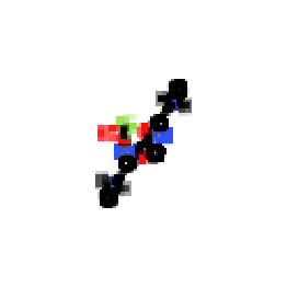 O=C(CC(C(=O)N[C@H]1CC[C@H](CCN2[C@@H]3CC[C@H]2c2ccccc23)CC1)c1ccccc1)N[C@H]1CC[C@H](CCN2[C@@H]3CC[C@H]2c2ccccc23)CC1.O=C(O)C(F)(F)F